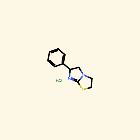 Cl.c1ccc(C2CN3CCSC3=N2)cc1